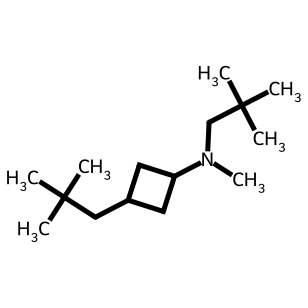 CN(CC(C)(C)C)C1CC(CC(C)(C)C)C1